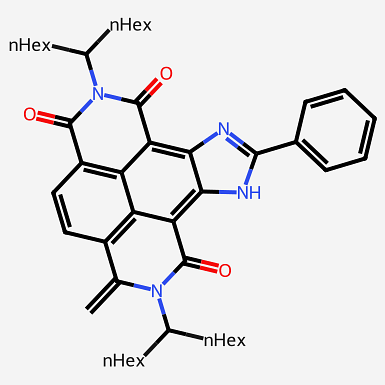 C=c1c2ccc3c4c(c5nc(-c6ccccc6)[nH]c5c(c(=O)n1C(CCCCCC)CCCCCC)c42)C(=O)N(C(CCCCCC)CCCCCC)C3=O